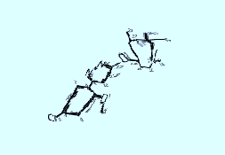 COc1cc(Cl)ccc1-c1ccc(OC2CCN(C)C(C)(C)C2C)nn1